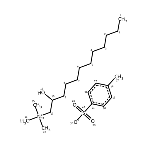 CCCCCCCCCCC(O)C[N+](C)(C)C.Cc1ccc(S(=O)(=O)[O-])cc1